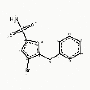 NS(=O)(=S)c1cc(Br)c(Cc2ccccc2)s1